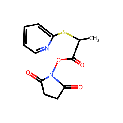 CC(Sc1ccccn1)C(=O)ON1C(=O)CCC1=O